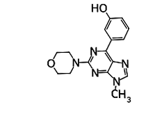 Cn1cnc2c(-c3cccc(O)c3)nc(N3CCOCC3)nc21